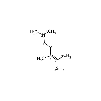 CC([SiH3])=C(C)CCN(C)C